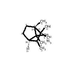 CC1[C@H]2CC[C@@](C)(C2(C)C)[C@]1(C)O